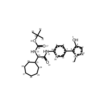 Cn1ncc(O)c1-c1ccc(NC(=O)C(NC(=O)OC(C)(C)C)C2CCCCCC2)nc1